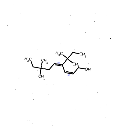 CCC(C)(C)C/C=C(\C=C/CO)C(C)(C)CC